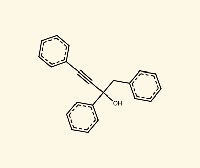 OC(C#Cc1ccccc1)(Cc1ccccc1)c1ccccc1